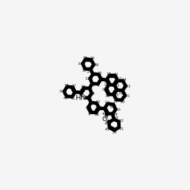 C1=CC(C2CC(C3CC(c4ccc5c6c7c(ccc46)CCCC7CC5)CC(C4CC=CCC4)C3)C=C(C3=CCCCC3)N2)CC(C2=C3OC4C=CCCC4C3CCC2)=C1